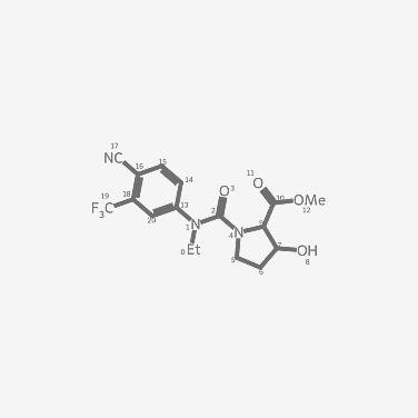 CCN(C(=O)N1CCC(O)C1C(=O)OC)c1ccc(C#N)c(C(F)(F)F)c1